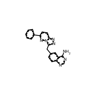 Nc1ncnc2ccc(Cc3nnc4ccc(-c5ccccc5)nn34)cc12